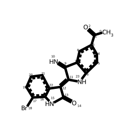 CC(=O)c1ccc2c(c1)C(=N)/C(=C1/C(=O)Nc3c(Br)cccc31)N2